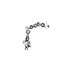 C[C@@H]1N(c2ccc(C#N)c(Cl)c2)CCC12CCN(c1ccc(C(=O)N3CCC(N4Cc5cc6c(cc5C4)C(=O)N(C4CCC(=O)NC4=O)C6=O)CC3)cc1)CC2